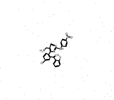 C=C(c1ccccc1F)c1cc(Cl)ccc1-c1nc(Nc2ccc([N+](=O)[O-])cc2)ncc1CN